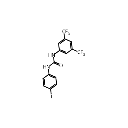 O=C(Nc1ccc(I)cc1)Nc1cc(C(F)(F)F)cc(C(F)(F)F)c1